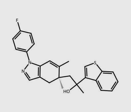 CC1=Cc2c(cnn2-c2ccc(F)cc2)C[C@]1(C)CC(C)(O)c1csc2ccccc12